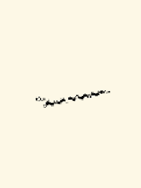 CNCCOCCOCCOCCOCC(=O)OC(C)(C)C